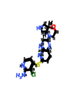 Nc1nccc(Sc2ccc3nc(N4CCO[C@@H]5CNC[C@H]54)cnc3n2)c1Cl